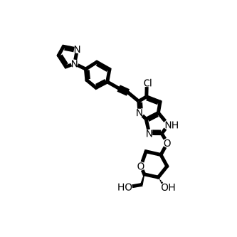 OC[C@H]1OCC(Oc2nc3nc(C#Cc4ccc(-n5cccn5)cc4)c(Cl)cc3[nH]2)C[C@@H]1O